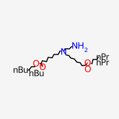 CCCCC(CCCC)CCOC(=O)CCCCCCCN(CCCN)CCCCCCCC(=O)OCCC(CCC)CCC